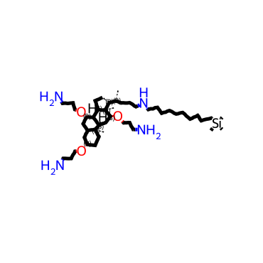 C[C@H](CCCNCCCCCCCCCC[Si](C)(C)C)[C@H]1CC[C@H]2C3[C@H](OCCCN)CC4C[C@H](OCCCN)CC[C@]4(C)[C@H]3C[C@H](OCCCN)[C@]12C